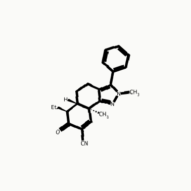 CC[C@@H]1C(=O)C(C#N)=C[C@]2(C)c3nn(C)c(-c4ccccc4)c3CC[C@@H]12